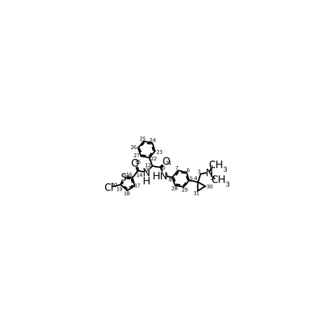 CN(C)CC1(c2ccc(NC(=O)C(NC(=O)c3ccc(Cl)s3)c3ccccc3)cc2)CC1